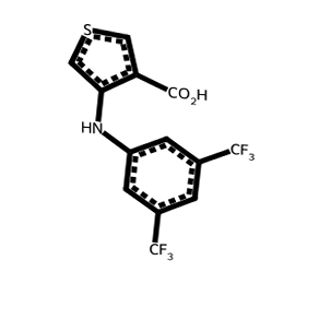 O=C(O)c1cscc1Nc1cc(C(F)(F)F)cc(C(F)(F)F)c1